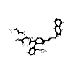 CSCC[C@H](NC(=O)c1ccc(C=CCc2ccc3ccccc3c2)cc1-c1ccccc1C)C(=O)O